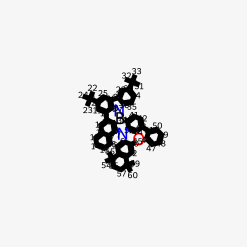 Cc1cc2c(cc1N1c3c4c(cc5ccccc35)-c3cc(C(C)(C)C)cc5c6cc(C(C)(C)C)ccc6n(c35)B4c3ccc4c(oc5ccccc54)c31)C(C)(C)CCC2(C)C